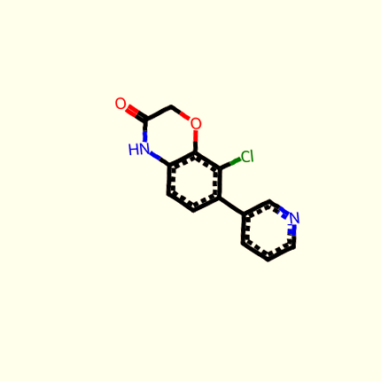 O=C1COc2c(ccc(-c3cccnc3)c2Cl)N1